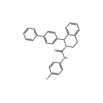 O=C(Nc1ccc(F)cc1)N1CCc2cccnc2C1c1ccc(-c2ccccc2)cc1